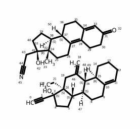 C#C[C@]1(O)CC[C@H]2[C@@H]3CCC4=CCCC[C@@H]4[C@H]3C(=C)C[C@@]21CC.C[C@]12CCC3=C4CCC(=O)C=C4CC[C@H]3[C@@H]1CC[C@@]2(O)CC#N